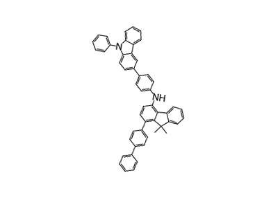 CC1(C)c2ccccc2-c2c(Nc3ccc(-c4ccc5c(c4)c4ccccc4n5-c4ccccc4)cc3)ccc(-c3ccc(-c4ccccc4)cc3)c21